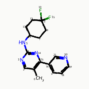 Cc1cnc(NC2CCC(F)(F)CC2)nc1-c1cccnc1